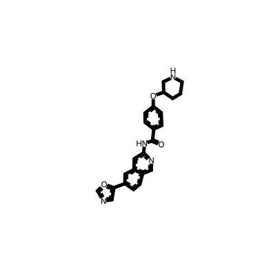 O=C(Nc1cc2cc(-c3cnco3)ccc2cn1)c1ccc(OC2CCCNC2)cc1